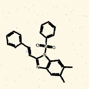 Cc1cc2nc(/C=C/c3ccccc3)n(S(=O)(=O)c3ccccc3)c2cc1C